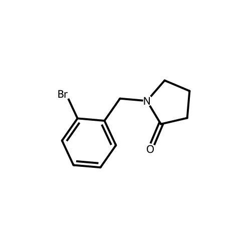 O=C1CCCN1Cc1ccccc1Br